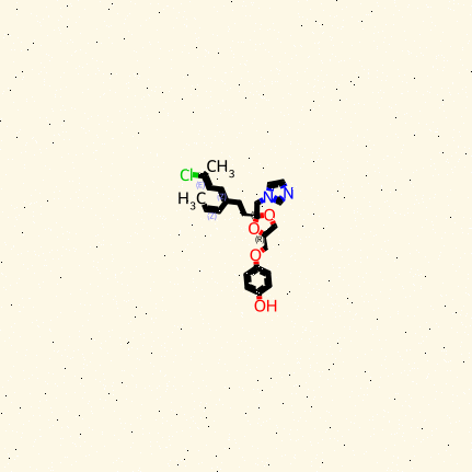 C\C=C/C(=C\C=C(/C)Cl)CC[C@@]1(Cn2ccnc2)OC[C@@H](COc2ccc(O)cc2)O1